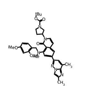 COc1ccc(CN(C(C)=O)c2cc(-c3cc(C)c4nc(C)cn4n3)cc3ccn(C4CCN(C(=O)OC(C)(C)C)C4)c(=O)c23)c(OC)c1